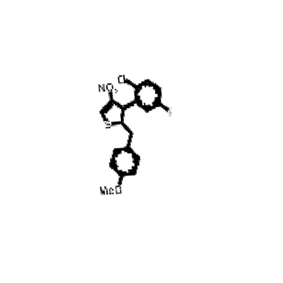 COc1ccc(CC2SC=C([N+](=O)[O-])C2c2cc(F)ccc2Cl)cc1